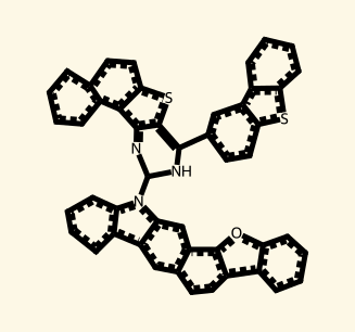 c1ccc2c(c1)ccc1sc3c(c12)=NC(n1c2ccccc2c2cc4ccc5c6ccccc6oc5c4cc21)NC=3c1ccc2sc3ccccc3c2c1